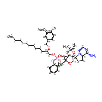 CCCCCCCCCCCCCCCCCCC[C@H](COP(=O)(Oc1ccccc1Cl)OC1C23OC(C)(C)OC2(C2CC=C4C(N)=NC=NN42)CO[C@]13C)OCc1ccc(C#N)c(OC)c1